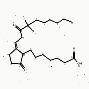 CCCCCCC(F)(F)C(=O)C/C=C1/CCC(=O)C1CCCCCCC(=O)O